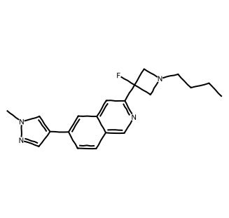 CCCCN1CC(F)(c2cc3cc(-c4cnn(C)c4)ccc3cn2)C1